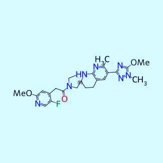 COc1cc(CC(=O)N2CC[C@]3(CCc4cc(-c5nc(OC)n(C)n5)c(C)nc4N3)C2)c(F)cn1